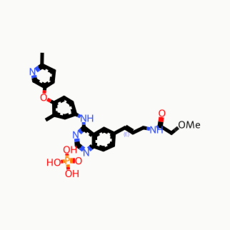 COCC(=O)NC/C=C/c1ccc2ncnc(Nc3ccc(Oc4ccc(C)nc4)c(C)c3)c2c1.O=P(O)(O)O